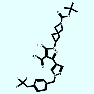 CC(C)(C)OC(=O)N1CC2(CC(n3nc(-c4cnn(Cc5ccc(CC(F)(F)F)cc5)c4)c(C(N)=O)c3N)C2)C1